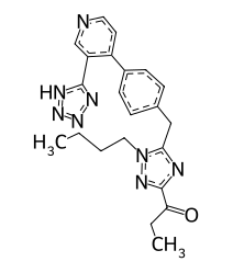 CCCCn1nc(C(=O)CC)nc1Cc1ccc(-c2ccncc2-c2nnn[nH]2)cc1